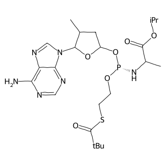 CC(C)OC(=O)C(C)N[P@](OCCSC(=O)C(C)(C)C)OC1CC(C)C(n2cnc3c(N)ncnc32)O1